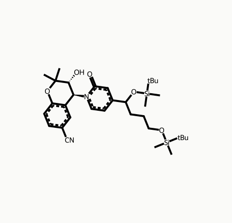 CC1(C)Oc2ccc(C#N)cc2[C@H](n2ccc(C(CCCO[Si](C)(C)C(C)(C)C)O[Si](C)(C)C(C)(C)C)cc2=O)[C@H]1O